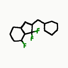 FC1CCCC2CC(CC3CCCCC3)C(F)(F)C12